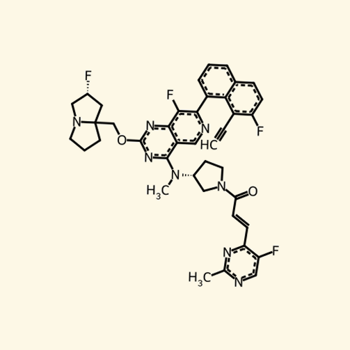 C#Cc1c(F)ccc2cccc(-c3ncc4c(N(C)[C@@H]5CCN(C(=O)/C=C/c6nc(C)ncc6F)C5)nc(OCC56CCCN5C[C@H](F)C6)nc4c3F)c12